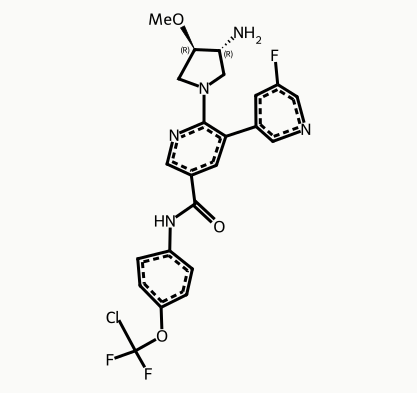 CO[C@@H]1CN(c2ncc(C(=O)Nc3ccc(OC(F)(F)Cl)cc3)cc2-c2cncc(F)c2)C[C@H]1N